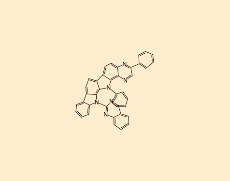 c1ccc(-c2cnc3c(ccc4c5ccc6c7ccccc7n(-c7ncc8ccccc8n7)c6c5n(-c5ccccc5)c43)n2)cc1